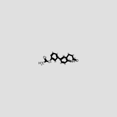 CC(=O)Oc1cccc(-c2ccc3c(c2)CCC(=O)N3)c1